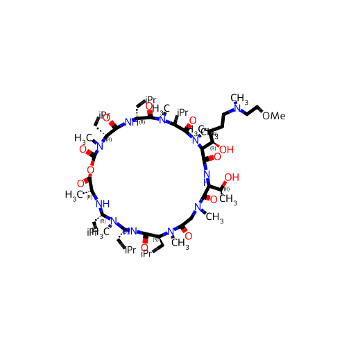 COCCN(C)CC[C@@H](C)[C@@H](O)C1C(=O)NC([C@@H](C)O)C(=O)N(C)CC(=O)N(C)[C@@H](CC(C)C)C(=O)N[C@H](CC(C)C)N(C)[C@H](CC(C)C)N[C@H](C)C(=O)OC(=O)N(C)[C@H](CC(C)C)C(=O)N[C@H](CC(C)C)C(=O)N(C)C(C(C)C)C(=O)N1C